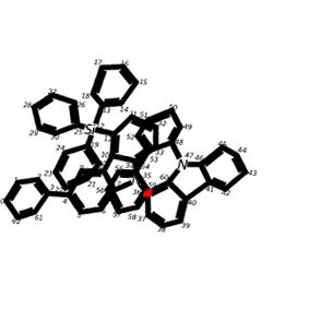 c1ccc(-c2ccc3c(c2)c2c([Si](c4ccccc4)(c4ccccc4)c4ccccc4)cccc2n3-c2cccc3c4ccccc4n(-c4ccccc4-c4ccccc4)c23)cc1